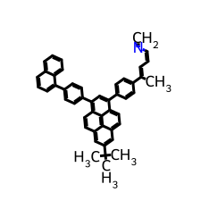 C=N/C=C\C=C(/C)c1ccc(-c2cc(-c3ccc(-c4cccc5ccccc45)cc3)c3ccc4cc(C(C)(C)C)cc5ccc2c3c54)cc1